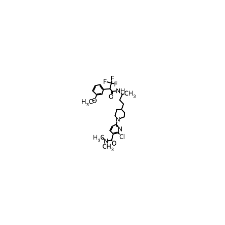 COc1cccc(C(C(=O)NC(C)CCC2CCN(c3ccc(C(=O)N(C)C)c(Cl)n3)CC2)C(F)(F)F)c1